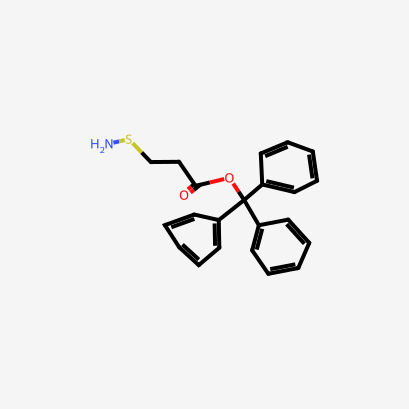 NSCCC(=O)OC(c1ccccc1)(c1ccccc1)c1ccccc1